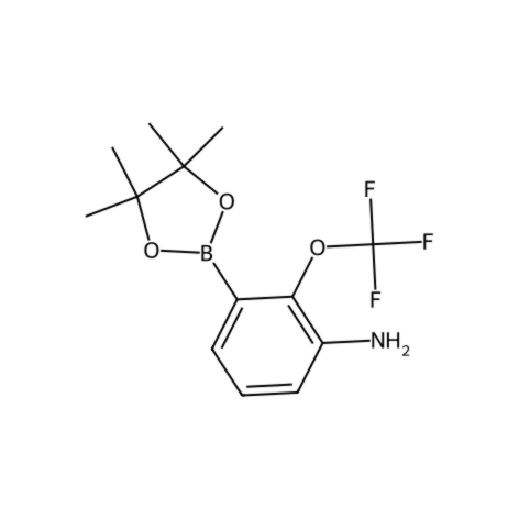 CC1(C)OB(c2cccc(N)c2OC(F)(F)F)OC1(C)C